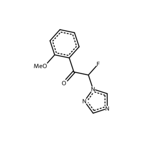 COc1ccccc1C(=O)C(F)n1cncn1